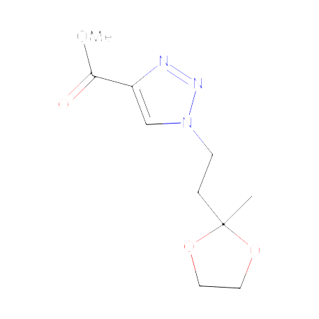 COC(=O)c1cn(CCC2(C)OCCO2)nn1